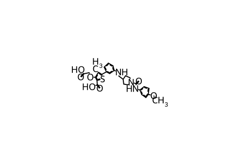 COc1ccc(NC(=O)N2CCC(CNc3cccc(-c4sc(C(=O)O)c(OCC(=O)O)c4C)c3)CC2)cc1